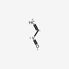 [CH]=[CH][V]=[O]